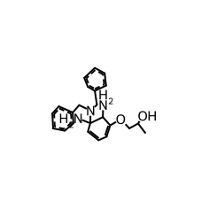 CC(O)COC1=CC=CC(N)(N(Cc2ccccc2)Cc2ccccc2)C1N